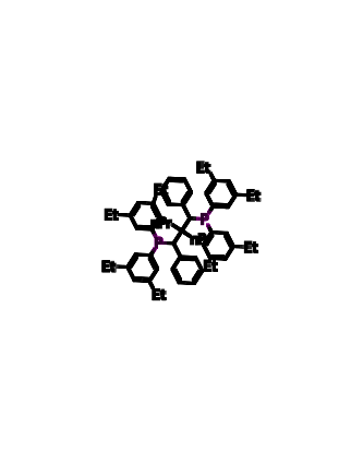 CCCC(CCC)(C(c1ccccc1)P(c1cc(CC)cc(CC)c1)c1cc(CC)cc(CC)c1)C(c1ccccc1)P(c1cc(CC)cc(CC)c1)c1cc(CC)cc(CC)c1